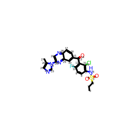 CCCS(=O)(=O)Nc1ccc(F)c(C(=O)c2ccc3ncc(-n4cncc4C)nc3c2)c1Cl